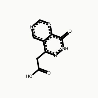 O=C(O)Cc1n[nH]c(=O)c2ncncc12